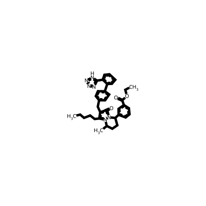 CCCCCc1c(Cc2ccc(-c3ccccc3-c3nnn[nH]3)cc2)c(=O)n2n1C(C)CCC2c1cccc(C(=O)OCC)c1